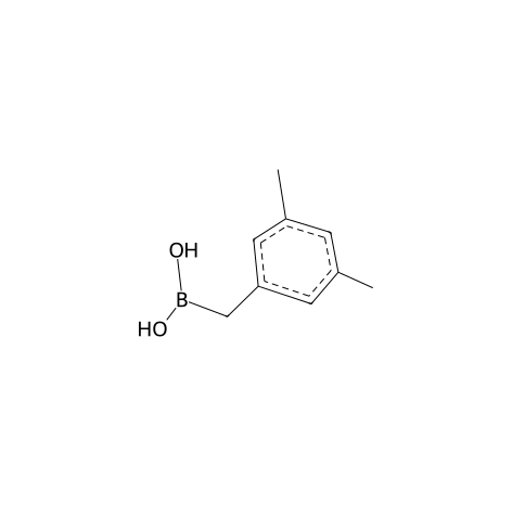 Cc1cc(C)cc(CB(O)O)c1